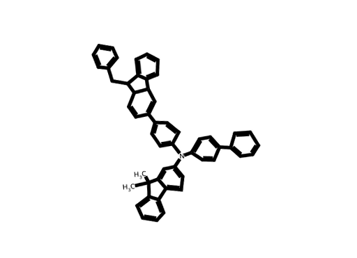 CC1(C)c2ccccc2-c2ccc(N(c3ccc(C4=CC5c6ccccc6C(Cc6ccccc6)C5C=C4)cc3)c3ccc(-c4ccccc4)cc3)cc21